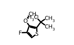 COc1c(F)csc1C(C)(C)C